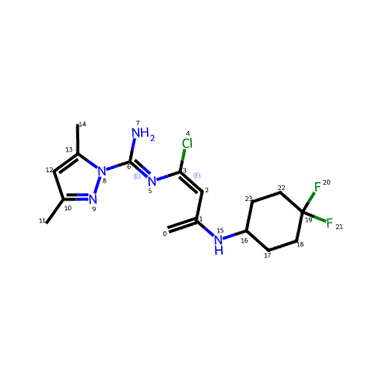 C=C(/C=C(Cl)\N=C(/N)n1nc(C)cc1C)NC1CCC(F)(F)CC1